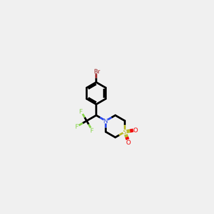 O=S1(=O)CCN(C(c2ccc(Br)cc2)C(F)(F)F)CC1